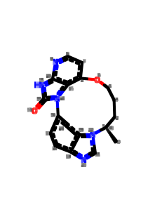 C[C@@H]1CCCOc2ccnc3[nH]c(=O)n(c23)-c2ccc3ncn1c3c2